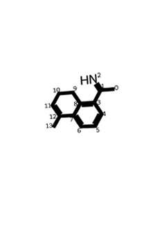 CC(=N)c1cccc2c1CCC=C2C